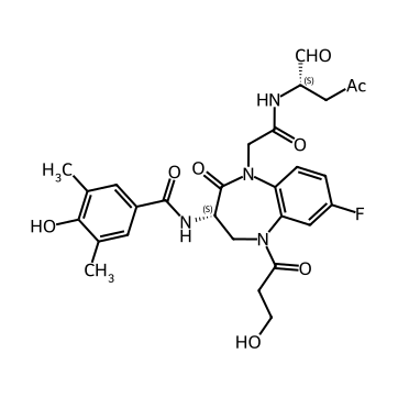 CC(=O)C[C@@H](C=O)NC(=O)CN1C(=O)[C@@H](NC(=O)c2cc(C)c(O)c(C)c2)CN(C(=O)CCO)c2cc(F)ccc21